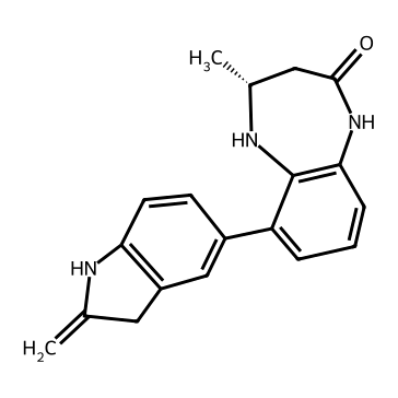 C=C1Cc2cc(-c3cccc4c3N[C@H](C)CC(=O)N4)ccc2N1